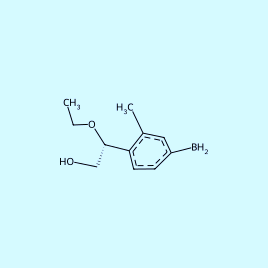 Bc1ccc([C@H](CO)OCC)c(C)c1